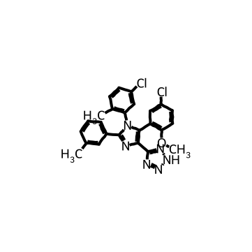 COc1ccc(Cl)cc1-c1c(-c2nn[nH]n2)nc(-c2cccc(C)c2)n1-c1cc(Cl)ccc1C